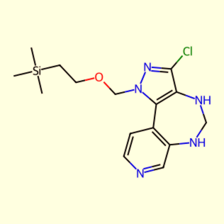 C[Si](C)(C)CCOCn1nc(Cl)c2c1-c1ccncc1NCN2